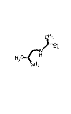 CC[C@@H](C)NC[C@H](C)N